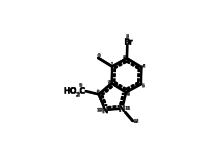 Cc1c(Br)ccc2c1c(C(=O)O)nn2C